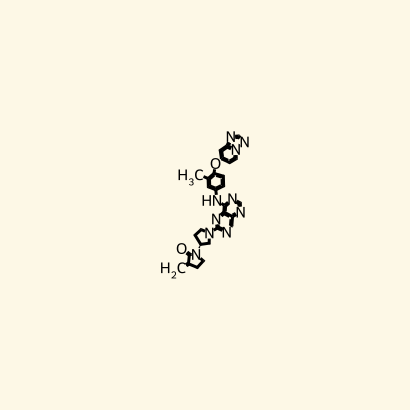 C=C1CCN([C@@H]2CCN(c3ncc4ncnc(Nc5ccc(Oc6ccn7ncnc7c6)c(C)c5)c4n3)C2)C1=O